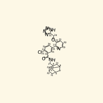 O=C(NCC12CC3CC(CC(C3)C1)C2)c1cc(-c2ncccc2OCc2nnn[nH]2)ccc1Cl